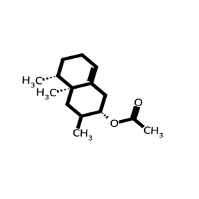 CC(=O)O[C@H]1CC2=CCC[C@@H](C)[C@]2(C)CC1C